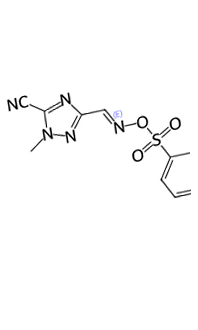 Cn1nc(/C=N/OS(=O)(=O)c2ccccc2)nc1C#N